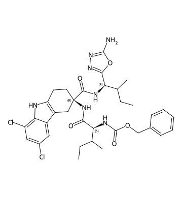 CCC(C)[C@H](NC(=O)OCc1ccccc1)C(=O)N[C@]1(C(=O)N[C@@H](c2nnc(N)o2)C(C)CC)CCc2[nH]c3c(Cl)cc(Cl)cc3c2C1